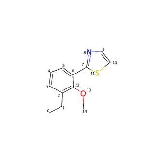 CCc1cccc(-c2nccs2)c1OC